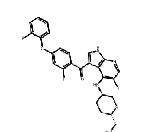 O=C(c1ccc(Oc2ccccc2F)cc1F)c1c[nH]c2ncc(F)c(N[C@@H]3CC[C@@H](CO)OC3)c12